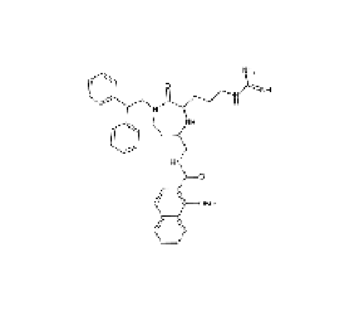 COc1c(C(=O)NCC2CCN(CC(c3ccccc3)c3ccccc3)C(=O)C(CCCNC(=N)N)N2)ccc2ccccc12